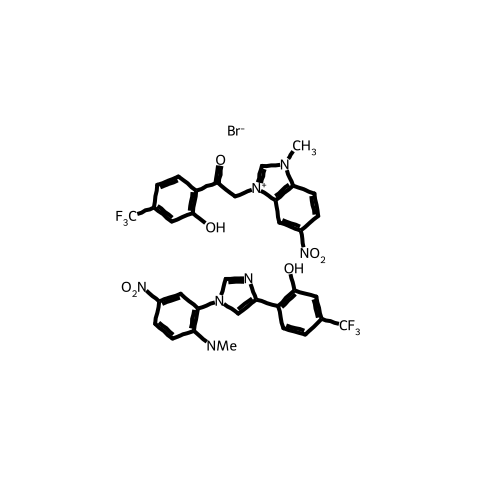 CNc1ccc([N+](=O)[O-])cc1-n1cnc(-c2ccc(C(F)(F)F)cc2O)c1.Cn1c[n+](CC(=O)c2ccc(C(F)(F)F)cc2O)c2cc([N+](=O)[O-])ccc21.[Br-]